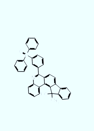 CC1(C)c2ccccc2-c2ccc3c(-c4cccc(P(=O)(c5ccccc5)c5ccccc5)c4)nc4ccccc4c3c21